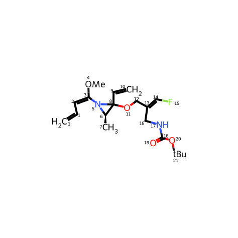 C=C/C=C(/OC)N1[C@H](C)C1(C=C)OC/C(=C/F)CNC(=O)OC(C)(C)C